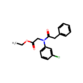 CCOC(=O)CN(C(=O)Cc1ccccc1)c1cccc(Cl)c1